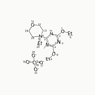 CCOc1nc(OCC)nc([N+]2(CC)CCOCC2)n1.[O-][Cl+3]([O-])([O-])[O-]